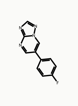 Fc1ccc(-c2cnc3ncnn3c2)cc1